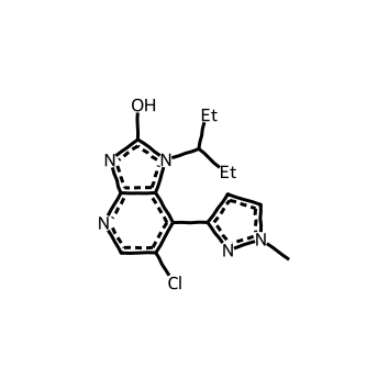 CCC(CC)n1c(O)nc2ncc(Cl)c(-c3ccn(C)n3)c21